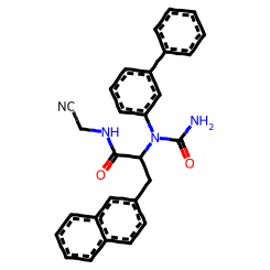 N#CCNC(=O)C(Cc1ccc2ccccc2c1)N(C(N)=O)c1cccc(-c2ccccc2)c1